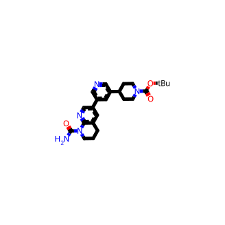 CC(C)(C)OC(=O)N1CCC(c2cncc(-c3cnc4c(c3)CCCN4C(N)=O)c2)CC1